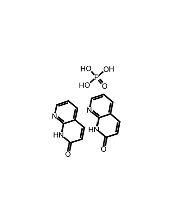 O=P(O)(O)O.O=c1ccc2cccnc2[nH]1.O=c1ccc2cccnc2[nH]1